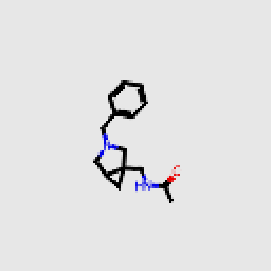 CC(=O)NCC12CC1CN(Cc1ccccc1)C2